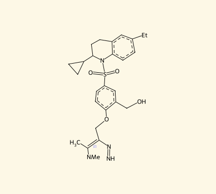 CCc1ccc2c(c1)CCC(C1CC1)N2S(=O)(=O)c1ccc(OC/C(N=N)=C(\C)NC)c(CO)c1